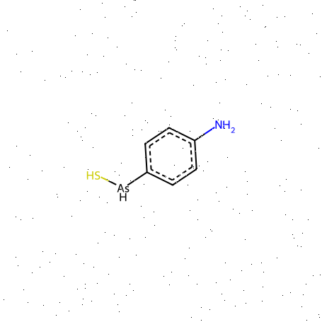 Nc1ccc([AsH]S)cc1